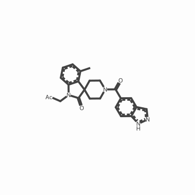 CC(=O)CN1C(=O)C2(CCN(C(=O)c3ccc4[nH]ncc4c3)CC2)c2c(C)cccc21